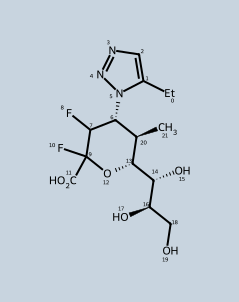 CCc1cnnn1[C@H]1C(F)C(F)(C(=O)O)O[C@@H]([C@H](O)[C@H](O)CO)[C@@H]1C